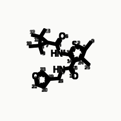 Cc1sc(NC(=O)C2C(C)(C)C2(C)C)c(C(=O)NCc2ccoc2)c1C